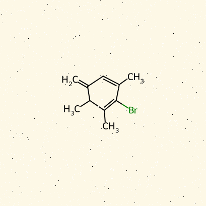 C=C1C=C(C)C(Br)=C(C)C1C